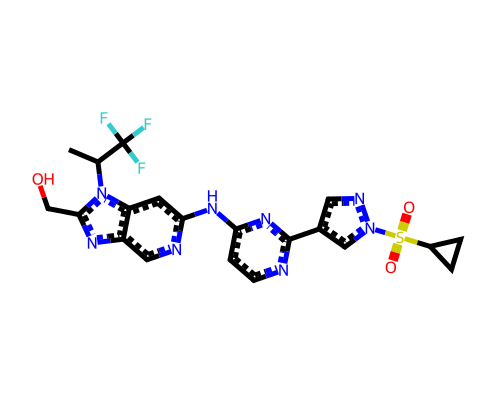 CC(n1c(CO)nc2cnc(Nc3ccnc(-c4cnn(S(=O)(=O)C5CC5)c4)n3)cc21)C(F)(F)F